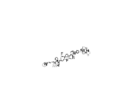 C[Si](C)(C)CCOCn1ccc2c(Oc3c(F)cc(NC(=O)NCCCN4CCCCC4)cc3F)ccnc21